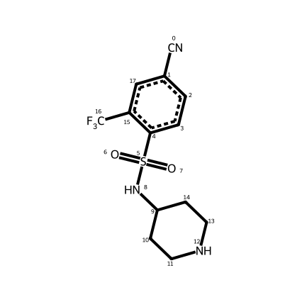 N#Cc1ccc(S(=O)(=O)NC2CCNCC2)c(C(F)(F)F)c1